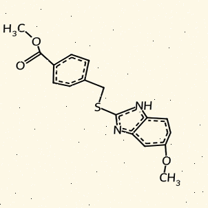 COC(=O)c1ccc(CSc2nc3cc(OC)ccc3[nH]2)cc1